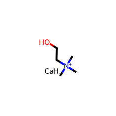 C[N+](C)(C)CCO.[CaH2]